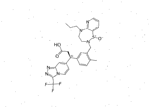 CCCN1CCN(Cc2cc([C@H](CC(=O)O)c3ccn4c(C(F)(F)F)nnc4c3)ccc2C)[S+]([O-])c2cccnc21